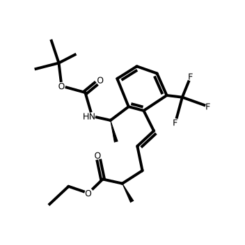 CCOC(=O)[C@H](C)C/C=C/c1c([C@@H](C)NC(=O)OC(C)(C)C)cccc1C(F)(F)F